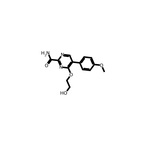 COc1ccc(-c2[c]nc(C(N)=O)nc2OCCO)cc1